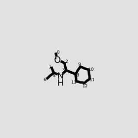 COCC(NC(C)C)C1CCCCC1